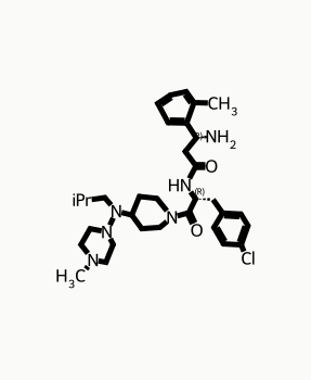 Cc1ccccc1[C@H](N)CC(=O)N[C@H](Cc1ccc(Cl)cc1)C(=O)N1CCC(N(CC(C)C)N2CCN(C)CC2)CC1